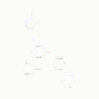 Cc1cccc(C)c1-c1cc(Oc2ccc(C3CCCCN3C)cc2)nc(NSc2cnn(C)c2)n1